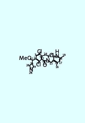 COC(c1cc(Cl)c2c(c1Cl)C(=O)N(Cc1c(C)cc(C)[nH]c1=O)CC2)C1CN(C)C1